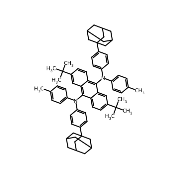 Cc1ccc(N(c2ccc(C34CC5CC(CC(C5)C3)C4)cc2)c2c3ccc(C(C)(C)C)cc3c(N(c3ccc(C)cc3)c3ccc(C45CC6CC(CC(C6)C4)C5)cc3)c3ccc(C(C)(C)C)cc23)cc1